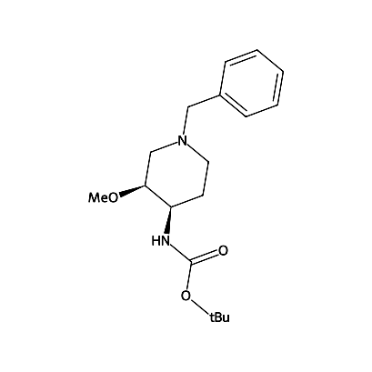 CO[C@H]1CN(Cc2ccccc2)CC[C@H]1NC(=O)OC(C)(C)C